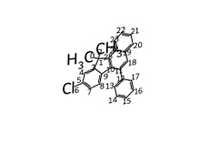 CC1(C)c2cc(Cl)ccc2-c2c(-c3ccccc3)cc3ccccc3c21